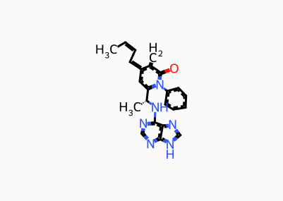 C=c1c(=O)n(-c2ccccc2)c([C@@H](C)Nc2ncnc3[nH]cnc23)c/c1=C/C=C\C